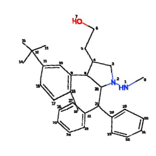 CNN1CC(CCO)C(c2cc(C(C)(C)C)ccc2C)C1C(c1ccccc1)c1ccccc1